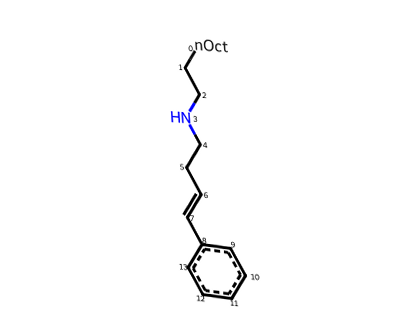 CCCCCCCCCCNCCC=Cc1ccccc1